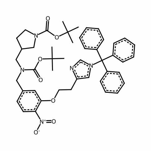 CC(C)(C)OC(=O)N1CCC(CN(Cc2ccc([N+](=O)[O-])c(OCCc3cn(C(c4ccccc4)(c4ccccc4)c4ccccc4)cn3)c2)C(=O)OC(C)(C)C)C1